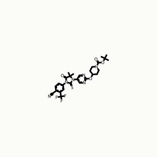 CC(C)(C)OC(=O)N1CCC(Oc2ncc(N3C(=S)N(c4ccc(C#N)c(C(F)(F)F)c4)C(=O)C3(C)C)cn2)CC1